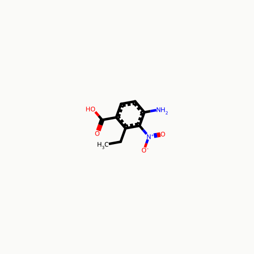 CCc1c(C(=O)O)ccc(N)c1[N+](=O)[O-]